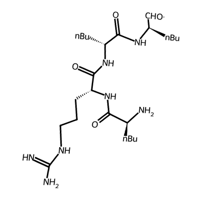 CCCC[C@H]([C]=O)NC(=O)[C@@H](CCCC)NC(=O)[C@@H](CCCNC(=N)N)NC(=O)[C@@H](N)CCCC